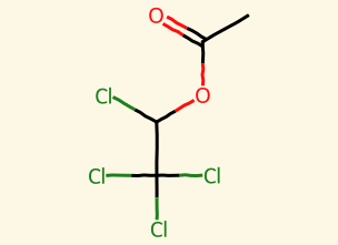 CC(=O)OC(Cl)C(Cl)(Cl)Cl